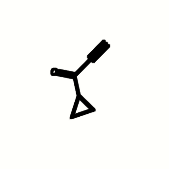 C#CC(=O)C1CC1